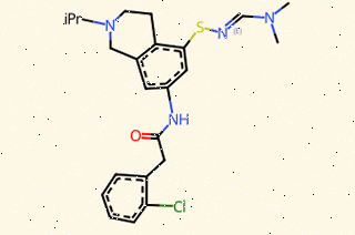 CC(C)N1CCc2c(cc(NC(=O)Cc3ccccc3Cl)cc2S/N=C/N(C)C)C1